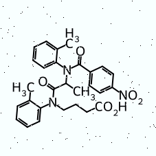 Cc1ccccc1N(CCCC(=O)O)C(=O)C(C)N(C(=O)c1ccc([N+](=O)[O-])cc1)c1ccccc1C